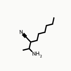 CCCCCCC(C#N)C(C)N